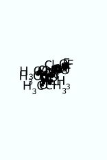 COc1cc(C(C)(C)C)c(O)c(C(=O)Nc2ccc(S(=O)(=O)C(F)(F)F)cc2Cl)c1C(C)C